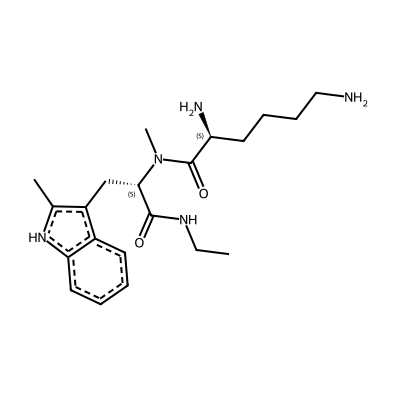 CCNC(=O)[C@H](Cc1c(C)[nH]c2ccccc12)N(C)C(=O)[C@@H](N)CCCCN